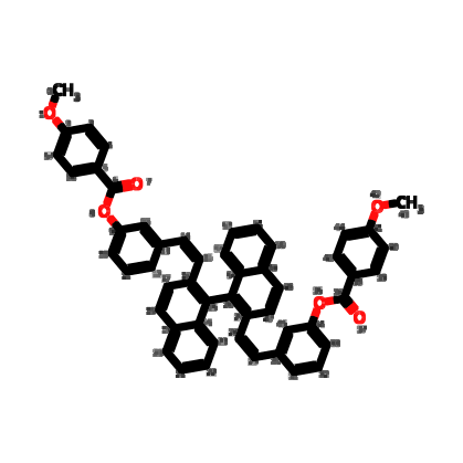 COc1ccc(C(=O)Oc2cccc(/C=C\c3ccc4ccccc4c3-c3c(/C=C\c4cccc(OC(=O)c5ccc(OC)cc5)c4)ccc4ccccc34)c2)cc1